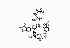 Cc1cc2cc(C)c1CNCC(=O)Nc1ccc(S(=O)(=O)C(C)C)c(c1)CNC(=O)C2Nc1ccc2nc[nH]c(=O)c2c1.O=C(O)C(F)(F)F.O=C(O)C(F)(F)F